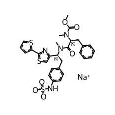 COC(=O)N(C)[C@@H](Cc1ccccc1)C(=O)N(C)[C@@H](Cc1ccc(NS(=O)(=O)[O-])cc1)c1csc(-c2cccs2)n1.[Na+]